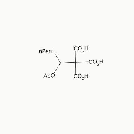 CCCCCC(OC(C)=O)C(C(=O)O)(C(=O)O)C(=O)O